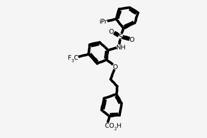 CC(C)c1ccccc1S(=O)(=O)Nc1ccc(C(F)(F)F)cc1OCCc1ccc(C(=O)O)cc1